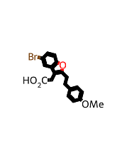 COc1ccc(CCc2oc3ccc(Br)cc3c2CC(=O)O)cc1